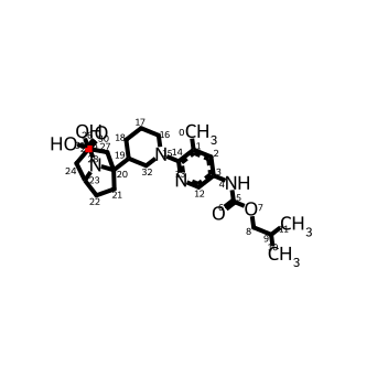 Cc1cc(NC(=O)OCC(C)C)cnc1N1CCCC(C23CCC(CC(O)C2)N3C(=O)O)C1